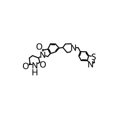 O=C1CCC(N2Cc3cc(C4CCN(Cc5ccc6ncsc6c5)CC4)ccc3C2=O)C(=O)N1